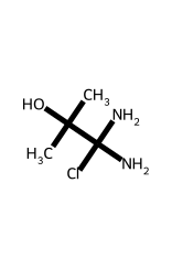 CC(C)(O)C(N)(N)Cl